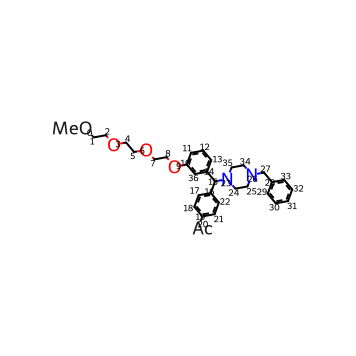 COCCOCCOCCOc1cccc(C(c2ccc(C(C)=O)cc2)N2CCN(Cc3ccccc3)CC2)c1